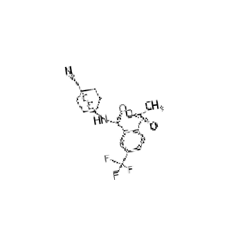 CS(=O)(=O)c1ccc(C(F)(F)F)cc1C(=O)NC12CCC(C#N)(CC1)CC2